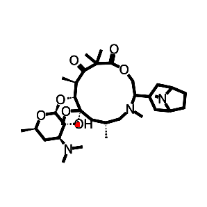 CO[C@]1(C)C[C@@H](C)CN(C)C(C2CC3CCC(C2)N3C)COC(=O)C(C)(C)C(=O)[C@H](C)[C@H]1O[C@@H]1O[C@H](C)C[C@H](N(C)C)[C@H]1O